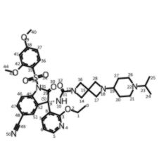 CCOc1ncccc1[C@]1(NC(=O)N2CC3(C2)CN(C2CCN(C(C)C)CC2)C3)C(=O)N(S(=O)(=O)c2ccc(OC)cc2OC)c2ccc(C#N)cc21